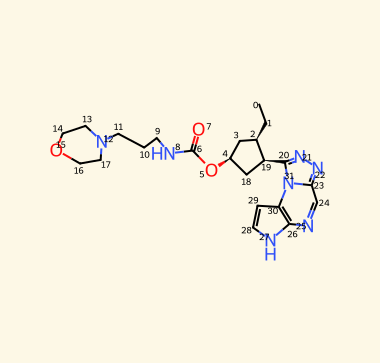 CC[C@@H]1C[C@H](OC(=O)NCCCN2CCOCC2)C[C@@H]1c1nnc2cnc3[nH]ccc3n12